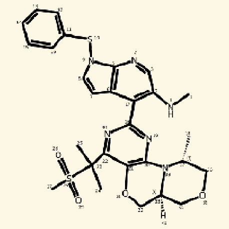 CNc1cnc2c(ccn2Sc2ccccc2)c1-c1nc2c(c(C(C)(C)S(C)(=O)=O)n1)OC[C@@H]1COC[C@@H](C)N21